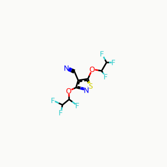 N#Cc1c(OC(F)C(F)F)nsc1OC(F)C(F)F